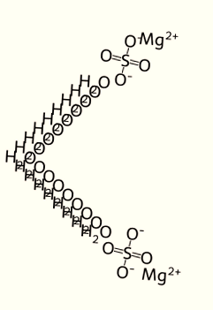 O.O.O.O.O.O.O.O.O.O.O.O.O.O.O.O.O.O=S(=O)([O-])[O-].O=S(=O)([O-])[O-].[Mg+2].[Mg+2]